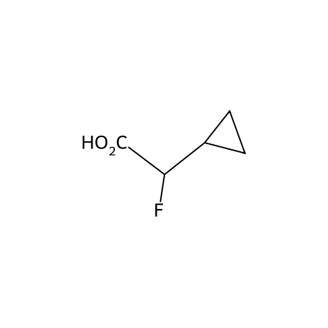 O=C(O)C(F)C1CC1